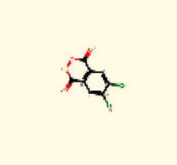 O=c1ooc(=O)c2cc(Cl)c(Cl)cc12